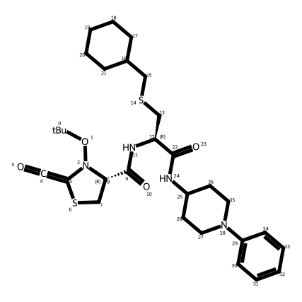 CC(C)(C)ON1C(=C=O)SC[C@H]1C(=O)N[C@@H](CSCC1CCCCC1)C(=O)NC1CCN(c2ccccc2)CC1